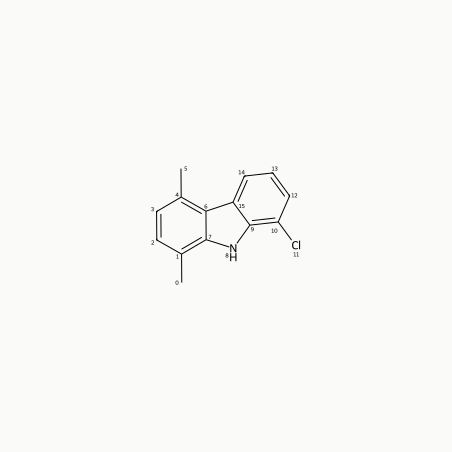 Cc1ccc(C)c2c1[nH]c1c(Cl)cccc12